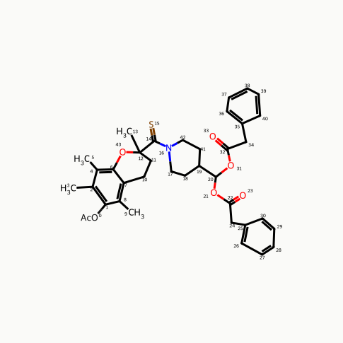 CC(=O)Oc1c(C)c(C)c2c(c1C)CCC(C)(C(=S)N1CCC(C(OC(=O)Cc3ccccc3)OC(=O)Cc3ccccc3)CC1)O2